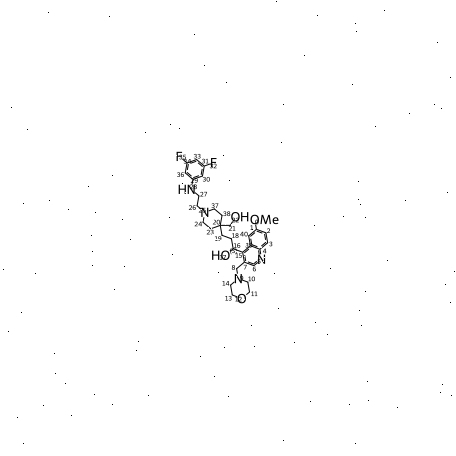 COc1ccc2ncc(CN3CCOCC3)c([C@@H](O)CCC3(CO)CCN(CCNc4cc(F)cc(F)c4)CC3)c2c1